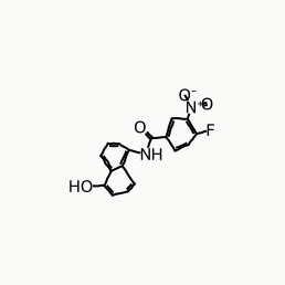 O=C(Nc1cccc2c(O)cccc12)c1ccc(F)c([N+](=O)[O-])c1